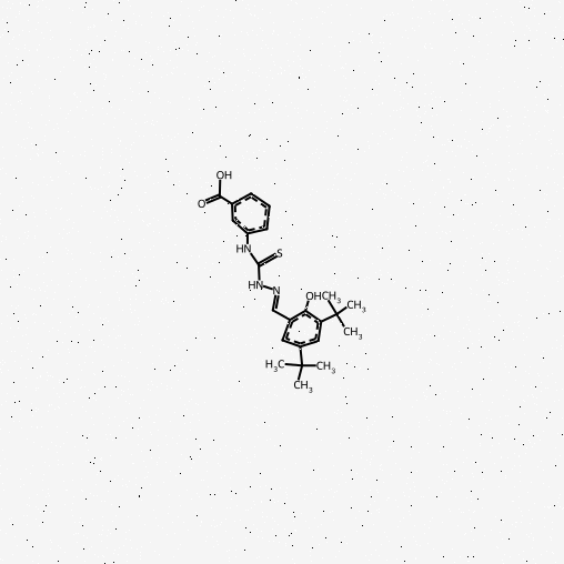 CC(C)(C)c1cc(C=NNC(=S)Nc2cccc(C(=O)O)c2)c(O)c(C(C)(C)C)c1